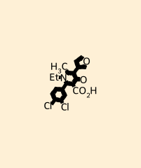 CCn1c(C)c(-c2ccoc2)c(=O)c(C(=O)O)c1-c1ccc(Cl)c(Cl)c1